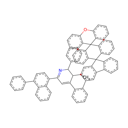 CCC1C(c2ccccc2-c2ccc3c(c2)-c2ccccc2C32c3ccccc3C3(c4ccccc4Oc4ccccc43)c3ccccc32)=CC(c2ccc(-c3ccccc3)c3ccccc23)=NC1c1ccccc1